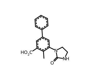 Cc1c(C(=O)O)cc(-c2ccccc2)cc1N1CCNC1=O